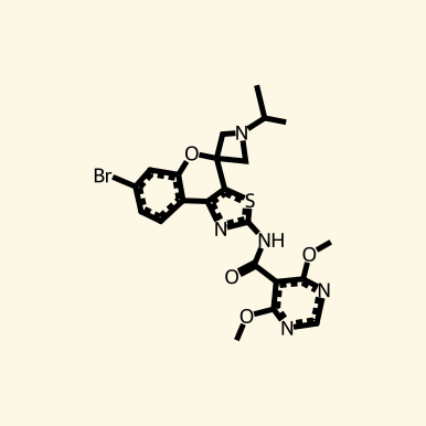 COc1ncnc(OC)c1C(=O)Nc1nc2c(s1)C1(CN(C(C)C)C1)Oc1cc(Br)ccc1-2